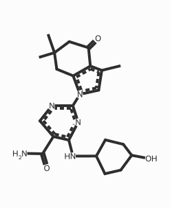 Cc1cn(-c2ncc(C(N)=O)c(NC3CCC(O)CC3)n2)c2c1C(=O)CC(C)(C)C2